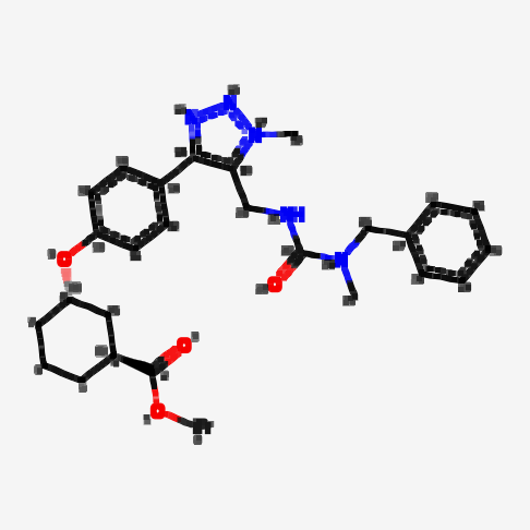 CC(C)OC(=O)[C@H]1CCC[C@H](Oc2ccc(-c3nnn(C)c3CNC(=O)N(C)Cc3ccccc3)cc2)C1